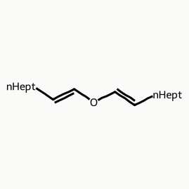 CCCCCCCC=COC=CCCCCCCC